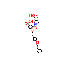 O=C(O)CC1CCCN(C(=O)c2cc(C(=O)O)ccc2OCCCc2ccc(OCCCC3CCCCC3)cc2)C1